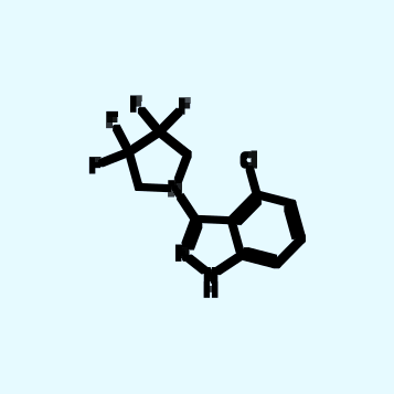 FC1(F)CN(c2n[nH]c3cccc(Cl)c23)CC1(F)F